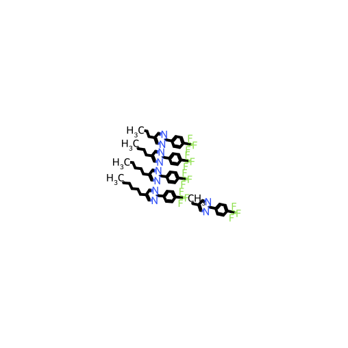 CCCCCCc1cnc(-c2ccc(C(F)(F)F)cc2)nc1.CCCCCc1cnc(-c2ccc(C(F)(F)F)cc2)nc1.CCCCc1cnc(-c2ccc(C(F)(F)F)cc2)nc1.CCCc1cnc(-c2ccc(C(F)(F)F)cc2)nc1.CCc1cnc(-c2ccc(C(F)(F)F)cc2)nc1